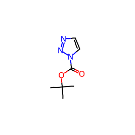 CC(C)(C)OC(=O)n1ccnn1